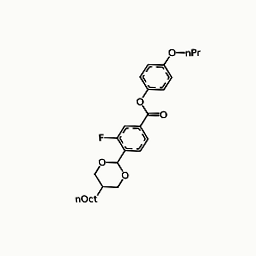 CCCCCCCCC1COC(c2ccc(C(=O)Oc3ccc(OCCC)cc3)cc2F)OC1